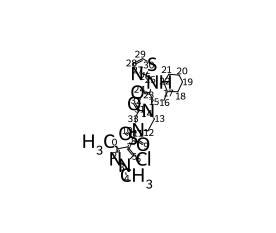 Cc1nn(C)c(Cl)c1S(=O)(=O)N1CCN([C@@H](CC2CCCCC2)C(=O)Nc2nccs2)C(=O)C1